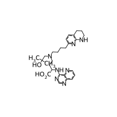 CC(C)(O)CN(CCCCc1ccc2c(n1)NCCC2)CCC(Nc1ncnc2cccnc12)C(=O)O